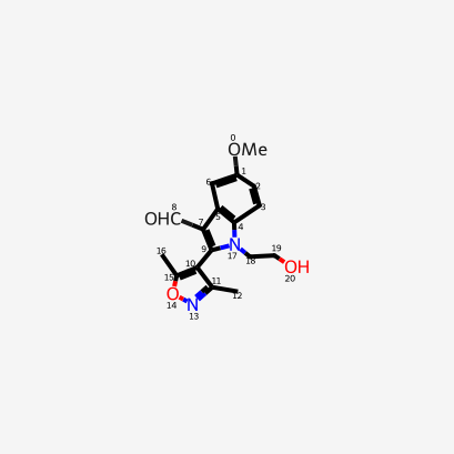 COc1ccc2c(c1)c(C=O)c(-c1c(C)noc1C)n2CCO